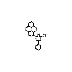 Clc1cc(-c2ccccc2)nc(-c2ccc3c4c2C=CC2=CC=CC(=CC3)C24)n1